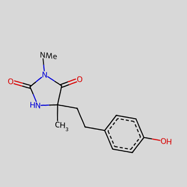 CNN1C(=O)NC(C)(CCc2ccc(O)cc2)C1=O